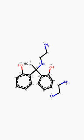 NCCN.NCCNC(C(=O)O)(c1ccccc1O)c1ccccc1O